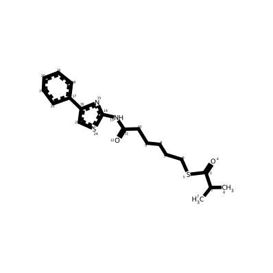 CC(C)C(=O)SCCCCCC(=O)Nc1nc(-c2ccccc2)cs1